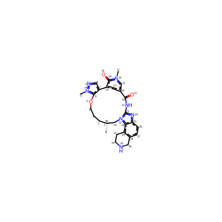 C[C@@H]1CCCOc2c(cnn2C)-c2cc(cn(C)c2=O)C(=O)Nc2nc3ccc4c(c3n2C1)CCNC4